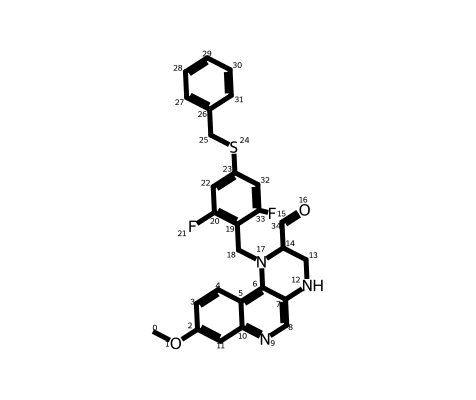 COc1ccc2c3c(cnc2c1)NCC(C=O)N3Cc1c(F)cc(SCc2ccccc2)cc1F